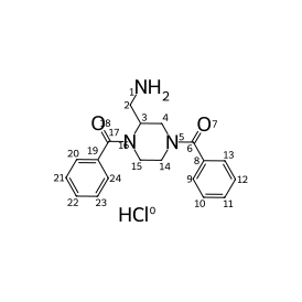 Cl.NCC1CN(C(=O)c2ccccc2)CCN1C(=O)c1ccccc1